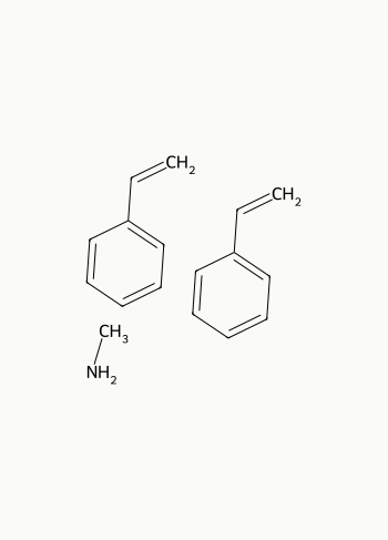 C=Cc1ccccc1.C=Cc1ccccc1.CN